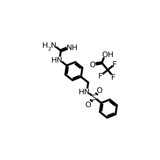 N=C(N)Nc1ccc(CNS(=O)(=O)c2ccccc2)cc1.O=C(O)C(F)(F)F